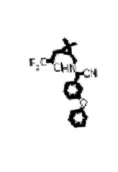 CC1(C)C(C=C(Cl)C(F)(F)F)C1CNC(C#N)c1cccc(Oc2ccccc2)c1